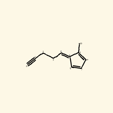 C#CCCC=C1C=CC=C1C